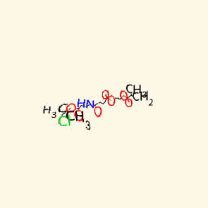 C=C(C)C(=O)OCCOC(=O)CCC(=O)NCCC(=O)OC(C)(C)CCl